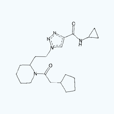 O=C(NC1CC1)c1cn(CCC2CCCCN2C(=O)CC2CCCC2)nn1